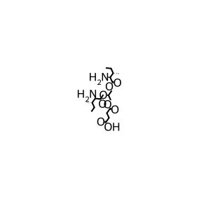 CC[C@H](C)[C@H](N)C(=O)OCC(COC(=O)CCC(=O)O)OC(=O)[C@@H](N)[C@@H](C)CC